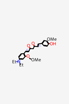 CCN(CC)c1ccc(/C=C/C(=O)CC(=O)/C=C/c2ccc(O)c(OC)c2)c(OCOC)c1